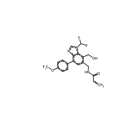 C=CC(=O)NCc1cc(-c2ccc(OC(F)(F)F)cc2)c2ncn(C(F)F)c2c1CO